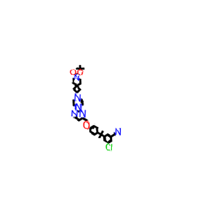 CC(C)(C)OC(=O)N1CCC2(CC1)CC(N1CCN(c3nccc(COc4ccc(C(C)(C)c5cc(Cl)cc(C#N)c5)cc4)n3)CC1)C2